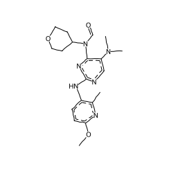 COc1ccc(Nc2ncc(N(C)C)c(N(C=O)C3CCOCC3)n2)c(C)n1